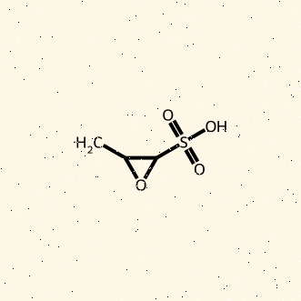 [CH2]C1OC1S(=O)(=O)O